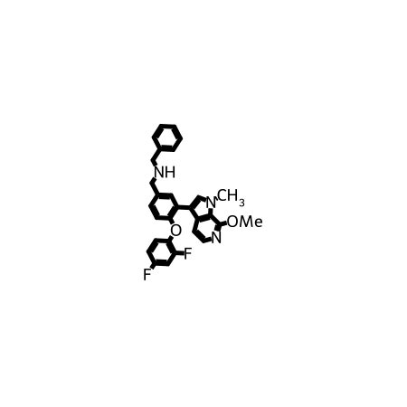 COc1nccc2c(-c3cc(CNCc4ccccc4)ccc3Oc3ccc(F)cc3F)cn(C)c12